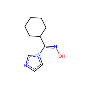 ON=C(C1CCCCC1)n1ccnc1